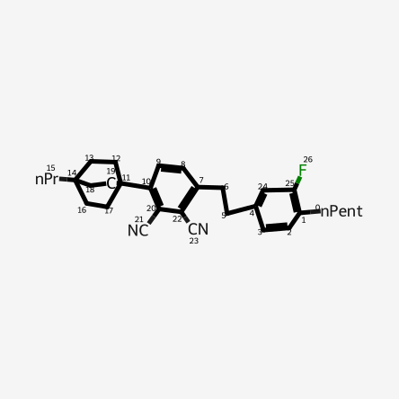 CCCCCc1ccc(CCc2ccc(C34CCC(CCC)(CC3)CC4)c(C#N)c2C#N)cc1F